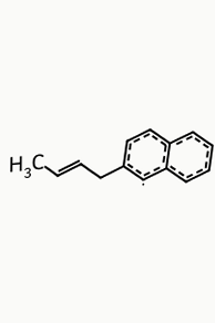 CC=CCc1[c]c2ccccc2cc1